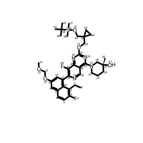 CCc1c(F)ccc2cc(OCOC)cc(-c3ncc4c(N5CCC[C@@](C)(O)C5)nc(OCC5(CO[Si](C)(C)C(C)(C)C)CC5)nc4c3F)c12